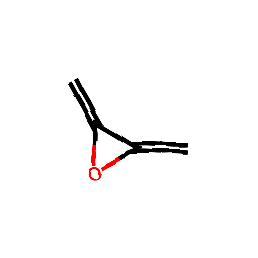 C=C1OC1=C